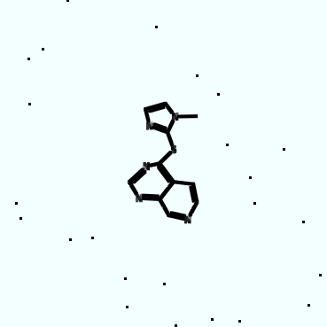 Cn1ccnc1Sc1ncnc2cnccc12